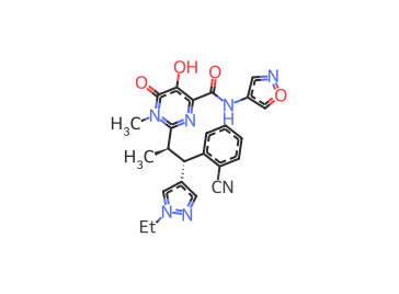 CCn1cc([C@@H](c2ccccc2C#N)[C@@H](C)c2nc(C(=O)Nc3cnoc3)c(O)c(=O)n2C)cn1